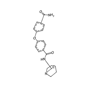 NC(=O)c1ccc(Oc2ccc(C(=O)NC3CC4CCN(CC4)C3)cc2)cc1